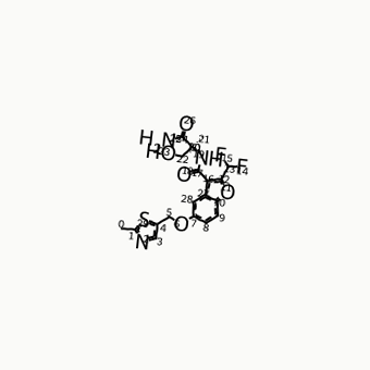 Cc1ncc(COc2ccc3oc(C(F)F)c(C(=O)N[C@@](C)(CO)C(N)=O)c3c2)s1